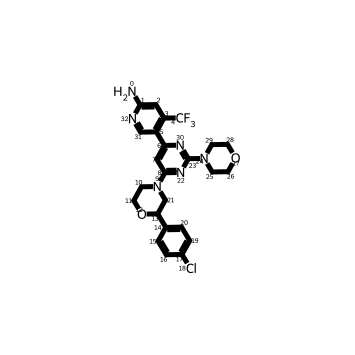 Nc1cc(C(F)(F)F)c(-c2cc(N3CCOC(c4ccc(Cl)cc4)C3)nc(N3CCOCC3)n2)cn1